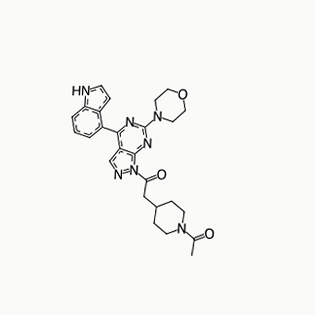 CC(=O)N1CCC(CC(=O)n2ncc3c(-c4cccc5[nH]ccc45)nc(N4CCOCC4)nc32)CC1